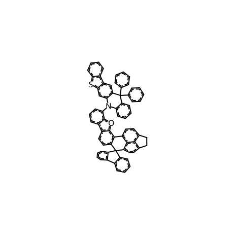 c1ccc(C2(c3ccccc3)c3ccccc3N(c3cccc4c3oc3c5c(ccc34)C3(c4ccccc4-c4ccccc43)c3ccc4c6c(ccc-5c36)CC4)c3cc4sc5ccccc5c4cc32)cc1